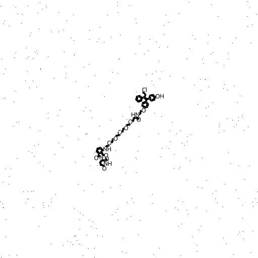 O=C(CCOCCOCCOCCOCCOCCNc1cccc2c1C(=O)N(C1CCC(=O)NC1=O)C2=O)NCCOc1ccc(C(=C(CCCl)c2ccccc2)c2ccc(O)cc2)cc1